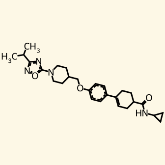 CC(C)c1noc(N2CCC(COc3ccc(C4=CCC(C(=O)NC5CC5)CC4)cc3)CC2)n1